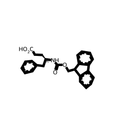 O=C(O)CC[C@H](Cc1ccccc1)NC(=O)OCC1c2ccccc2-c2ccccc21